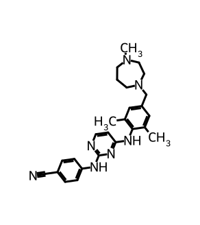 Cc1cc(CN2CCCN(C)CC2)cc(C)c1Nc1ccnc(Nc2ccc(C#N)cc2)n1